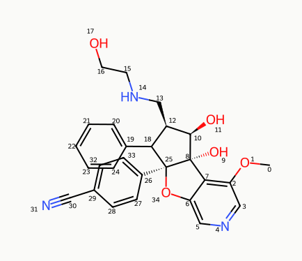 COc1cncc2c1[C@]1(O)[C@H](O)[C@H](CNCCO)C(c3ccccc3)[C@]1(c1ccc(C#N)cc1)O2